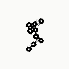 c1ccc(-c2ccc(-n3c4ccccc4c4cc(-c5ccc6c(c5)C5(c7ccccc7-c7ccccc75)c5ccc7c(c5-6)Oc5ccccc5O7)ccc43)cn2)cc1